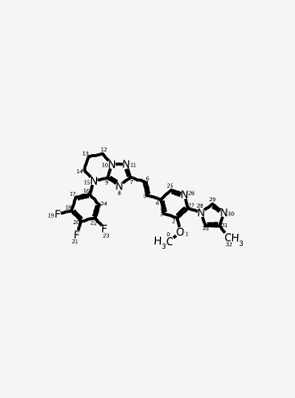 COc1cc(C=Cc2nc3n(n2)CCCN3c2cc(F)c(F)c(F)c2)cnc1-n1cnc(C)c1